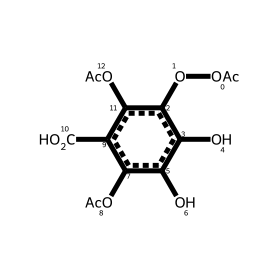 CC(=O)OOc1c(O)c(O)c(OC(C)=O)c(C(=O)O)c1OC(C)=O